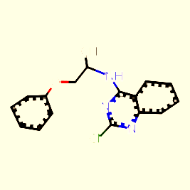 CC(COc1ccccc1)Nc1nc(Cl)nc2ccccc12